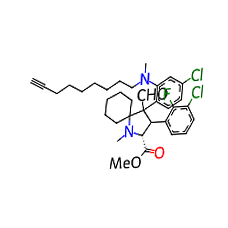 C#CCCCCCCCN(C)c1cc(Cl)ccc1C1(C=O)C(c2cccc(Cl)c2F)[C@H](C(=O)OC)N(C)C12CCCCC2